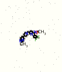 CCON=C(c1ccc(F)c(F)c1)c1ccc(CN2CCC(c3ccc4nc(C)cn4c3)CC2)cn1